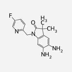 CC1(C)C(=O)N(Cc2ccc(F)cn2)c2cc(N)c(N)cc21